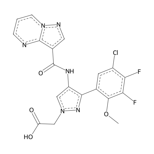 COc1c(-c2nn(CC(=O)O)cc2NC(=O)c2cnn3cccnc23)cc(Cl)c(F)c1F